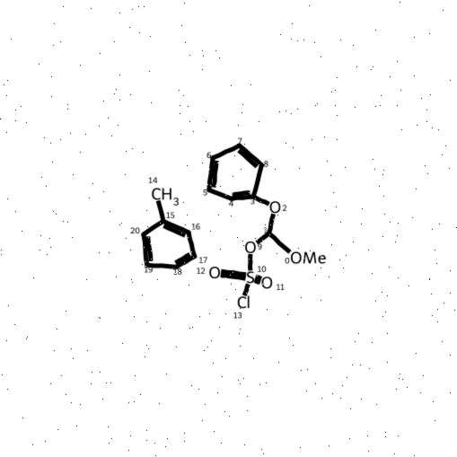 COC(Oc1ccccc1)OS(=O)(=O)Cl.Cc1ccccc1